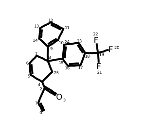 C=CC(=O)C1C=CCC(c2ccccc2)(c2ccc(C(F)(F)F)cc2)C1